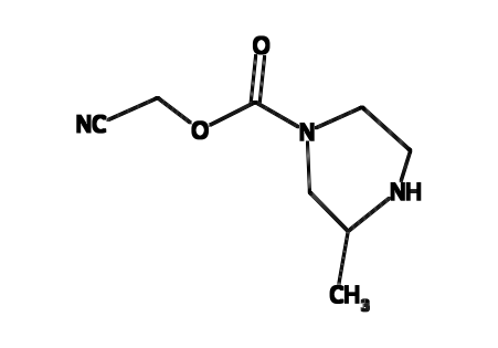 CC1CN(C(=O)OCC#N)CCN1